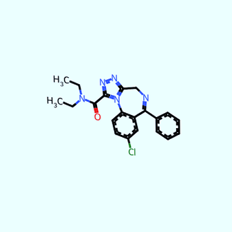 CCN(CC)C(=O)c1nnc2n1-c1ccc(Cl)cc1C(c1ccccc1)=NC2